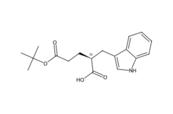 CC(C)(C)OC(=O)CC[C@@H](Cc1c[nH]c2ccccc12)C(=O)O